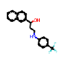 OC(CCNc1ccc(C(F)(F)F)cc1)c1ccc2ccccc2c1